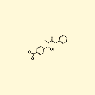 CC(NCc1ccccc1)C(O)c1ccc([N+](=O)[O-])cc1